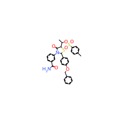 Cc1ccc(S(=O)(=O)OC(C)C2SC(c3ccc(OCc4ccccc4)cc3)N(c3cccc(C(N)=O)c3)C2=O)cc1